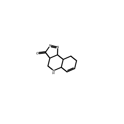 O=C1N=NC2C1CNC1C=CCCC12